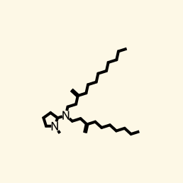 C=C(CCCCCCC)CCN(CCC(=C)CCCCCCCCC)C1CCCN1C